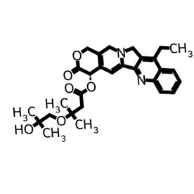 CCc1c2c(nc3ccccc13)C1=CC3=C(COC(=O)[C@H]3OC(=O)CC(C)(C)OCC(C)(C)O)CN1C2